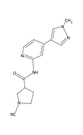 Cn1cc(-c2ccnc(NC(=O)C3CCN(C#N)C3)c2)cn1